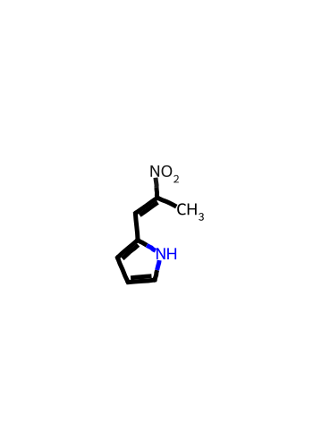 C/C(=C\c1ccc[nH]1)[N+](=O)[O-]